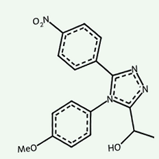 COc1ccc(-n2c(-c3ccc([N+](=O)[O-])cc3)nnc2C(C)O)cc1